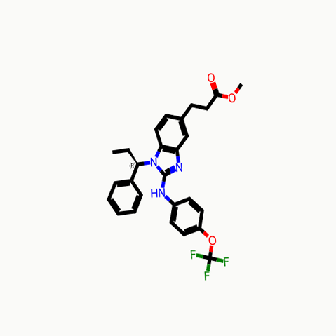 CC[C@H](c1ccccc1)n1c(Nc2ccc(OC(F)(F)F)cc2)nc2cc(CCC(=O)OC)ccc21